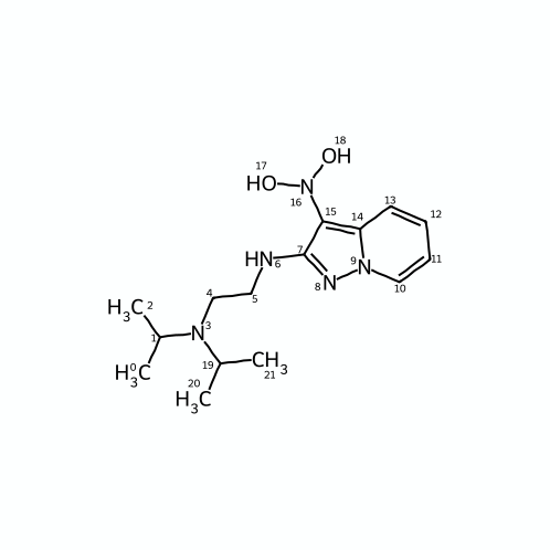 CC(C)N(CCNc1nn2ccccc2c1N(O)O)C(C)C